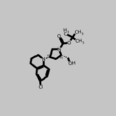 CC(C)(C)OC(=O)N1C[C@@H](N2CCCc3cc(Cl)ccc32)C[C@H]1CO